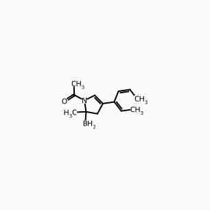 BC1(C)CC(C(/C=C\C)=C/C)=CN1C(C)=O